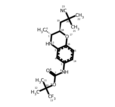 C[C@H]1Nc2cc(NC(=O)OC(C)(C)C(F)(F)F)ccc2O[C@@H]1CC(C)(C)C#N